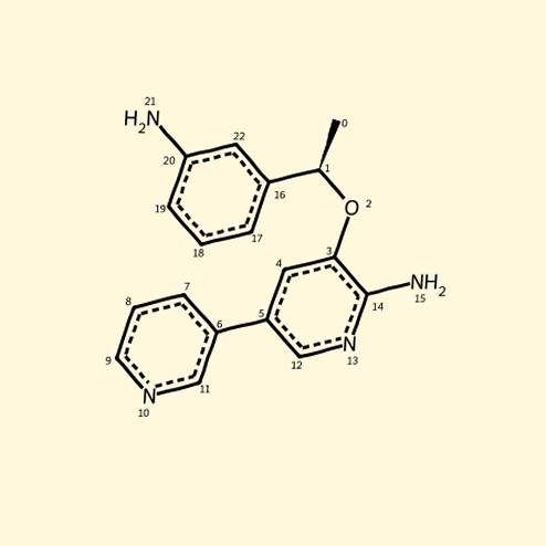 C[C@@H](Oc1cc(-c2cccnc2)cnc1N)c1cccc(N)c1